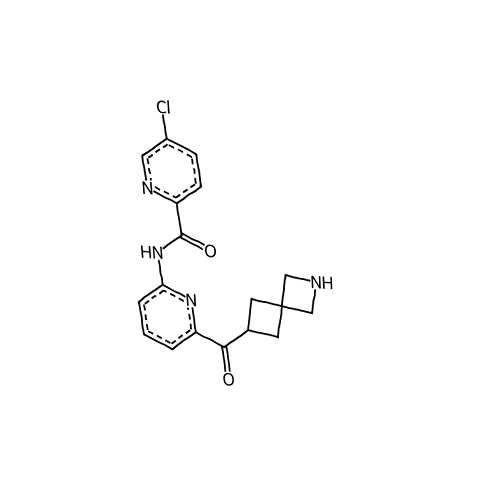 O=C(Nc1cccc(C(=O)C2CC3(CNC3)C2)n1)c1ccc(Cl)cn1